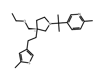 CCOC[C@@]1(CCc2csc(C)c2)CCN(C(C)(C)c2ccc(C)nc2)C1